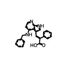 O=C(O)/C(=C/c1c[nH]c2nccc(NCc3ccccc3)c12)c1ccccc1